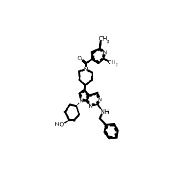 Cc1cc(C(=O)N2CCC(c3cn([C@H]4CC[C@H](O)CC4)c4nc(NCc5ccccc5)ncc34)CC2)cc(C)n1